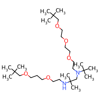 CC(C)(C)COCCCOCCNC(C)(C)CN(CCOCCOCCOCC(C)(C)C)C(C)(C)C